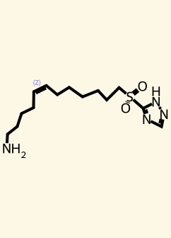 NCCCC/C=C\CCCCCCS(=O)(=O)c1ncn[nH]1